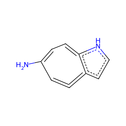 NC1=CC=c2[nH]ccc2=C=C1